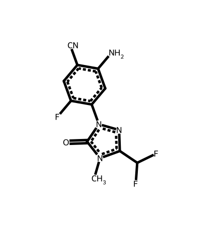 Cn1c(C(F)F)nn(-c2cc(N)c(C#N)cc2F)c1=O